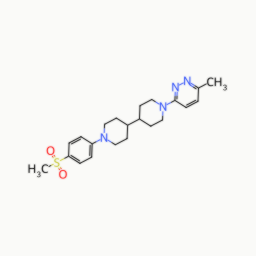 Cc1ccc(N2CCC(C3CCN(c4ccc(S(C)(=O)=O)cc4)CC3)CC2)nn1